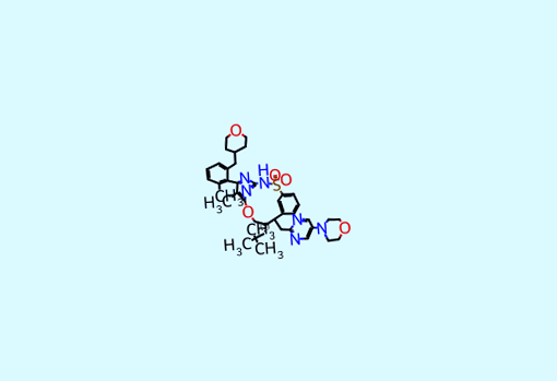 Cc1cccc(CC2CCOCC2)c1-c1nc2nc(c1C)OC[C@@H](CC(C)(C)C)C(Cc1ncc(N3CCOCC3)cn1)c1cccc(c1)S(=O)(=O)N2